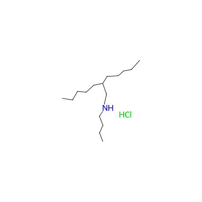 CCCCCC(CCCCC)CCNCCCC.Cl